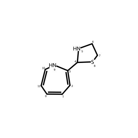 C1=CC=C(C2NCCS2)NC=C1